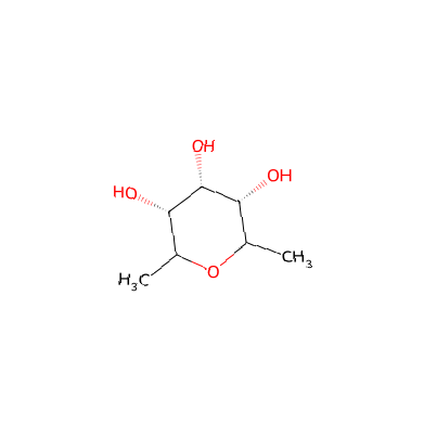 CC1OC(C)[C@H](O)[C@H](O)[C@@H]1O